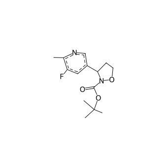 Cc1ncc(C2CCON2C(=O)OC(C)(C)C)cc1F